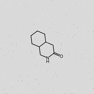 O=C1CC2CCCCC2CN1